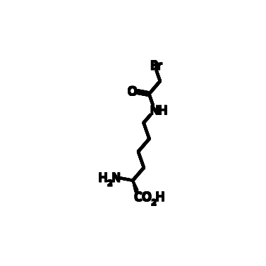 N[C@@H](CCCCNC(=O)CBr)C(=O)O